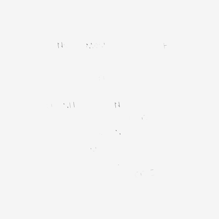 CCONCc1cn(CC(OCCC#N)c2cc(F)ccc2OC)c(=O)n(CC(C)(C)C(=O)OCC)c1=O